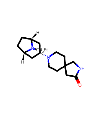 CCOC(=O)N1[C@@H]2CC[C@H]1C[C@@H](N1CCC3(CC1)CNC(=O)C3)C2